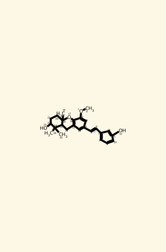 COc1cc(/C=C/c2cccc(O)c2)cc2c1OC1(C)CCC(O)C(C)(C)C1C2